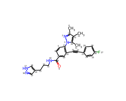 Cc1nn(-c2ccc(C(=O)NCCCc3cn[nH]c3)cc2C#Cc2ccc(F)cc2)c(C)c1C